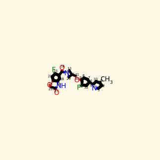 Cc1ccnc(-c2ccc(OCC3CN(C(=O)c4cc5c(cc4F)OCC(=O)N5)C3)c(F)c2)c1